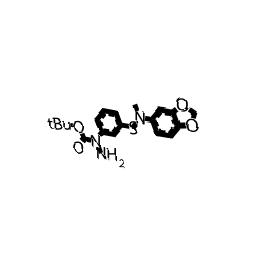 CN(Sc1cccc(N(N)C(=O)OC(C)(C)C)c1)c1ccc2c(c1)OCO2